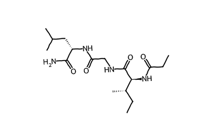 CCC(=O)N[C@H](C(=O)NCC(=O)N[C@@H](CC(C)C)C(N)=O)[C@@H](C)CC